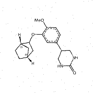 COc1ccc(C2CNC(=O)NC2)cc1OC1C[C@@H]2CC[C@H]1C2